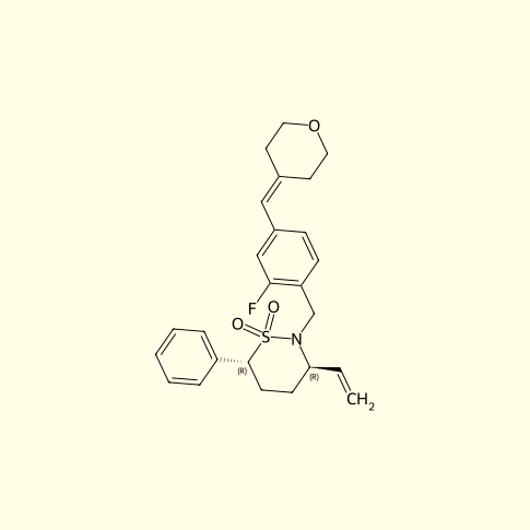 C=C[C@H]1CC[C@H](c2ccccc2)S(=O)(=O)N1Cc1ccc(C=C2CCOCC2)cc1F